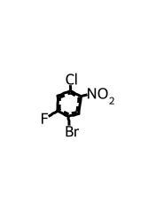 O=[N+]([O-])c1cc(Br)c(F)cc1Cl